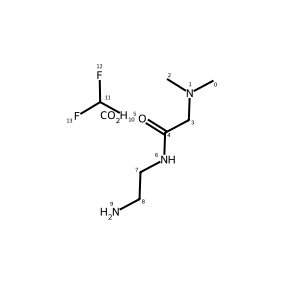 CN(C)CC(=O)NCCN.O=C(O)C(F)F